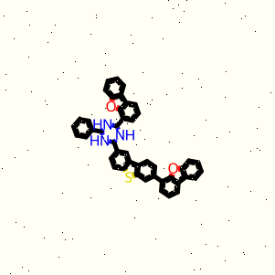 c1ccc(C2NC(c3ccc4sc5cc(-c6cccc7c6oc6ccccc67)ccc5c4c3)NC(c3cccc4c3oc3ccccc34)N2)cc1